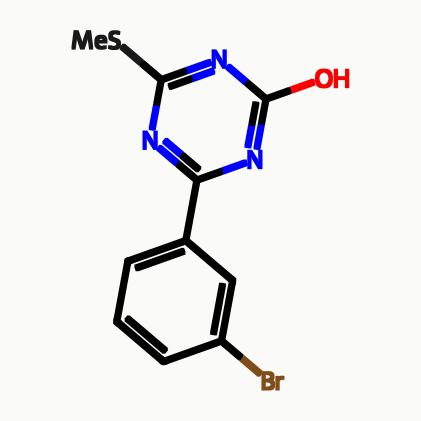 CSc1nc(O)nc(-c2cccc(Br)c2)n1